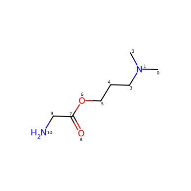 CN(C)CCCOC(=O)CN